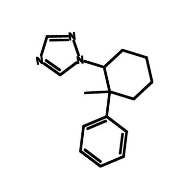 CC1(c2ccccc2)CCCCC1n1cncn1